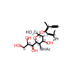 C#C/C(C)=C(\C=C(/C)C(C)C)OC1(C(=O)O)CC(O)C(NC(C)=O)C(C(O)C(O)CO)O1